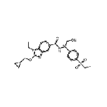 CCn1c(OCC2CC2)nc2cc(C(=O)N[C@@H](CO)c3ccc(S(=O)(=O)CC)cc3)ccc21